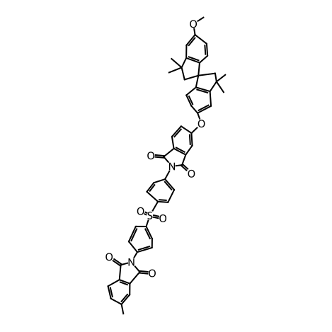 COc1ccc2c(c1)C(C)(C)CC21CC(C)(C)c2cc(Oc3ccc4c(c3)C(=O)N(c3ccc(S(=O)(=O)c5ccc(N6C(=O)c7ccc(C)cc7C6=O)cc5)cc3)C4=O)ccc21